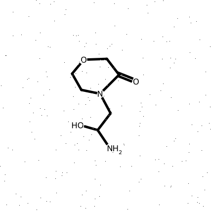 NC(O)CN1CCOCC1=O